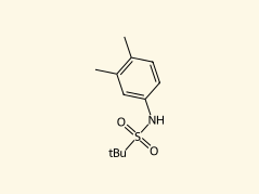 Cc1ccc(NS(=O)(=O)C(C)(C)C)cc1C